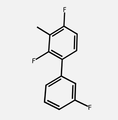 Cc1c(F)ccc(-c2cccc(F)c2)c1F